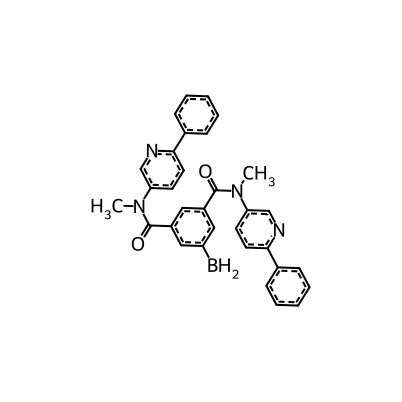 Bc1cc(C(=O)N(C)c2ccc(-c3ccccc3)nc2)cc(C(=O)N(C)c2ccc(-c3ccccc3)nc2)c1